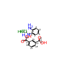 Cl.Cl.Nc1ccccc1N.O=C(O)c1cccc(C(=O)O)c1